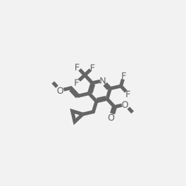 COC=Cc1c(C(F)(F)F)nc(C(F)F)c(C(=O)OC)c1CC1CC1